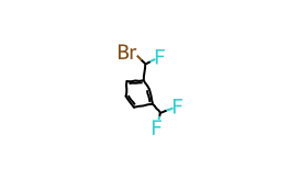 FC(F)c1cccc(C(F)Br)c1